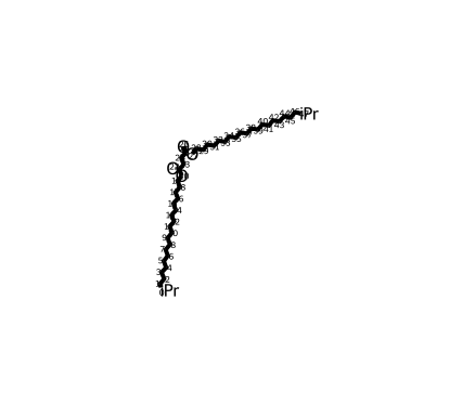 CC(C)CCCCCCCCCCCCCCCCCCCOC(=O)CCC(=O)OCCCCCCCCCCCCCCCCCCCC(C)C